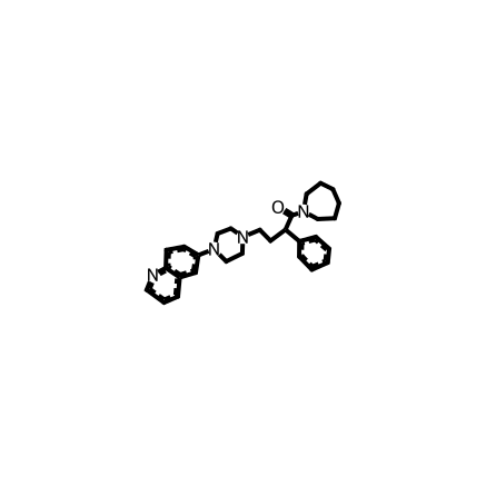 O=C(C(CCN1CCN(c2ccc3ncccc3c2)CC1)c1ccccc1)N1CCCCCC1